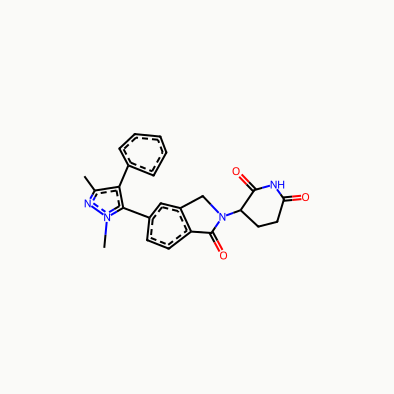 Cc1nn(C)c(-c2ccc3c(c2)CN(C2CCC(=O)NC2=O)C3=O)c1-c1ccccc1